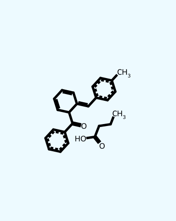 CCCC(=O)O.Cc1ccc(C=C2C=CC=CC2C(=O)c2ccccc2)cc1